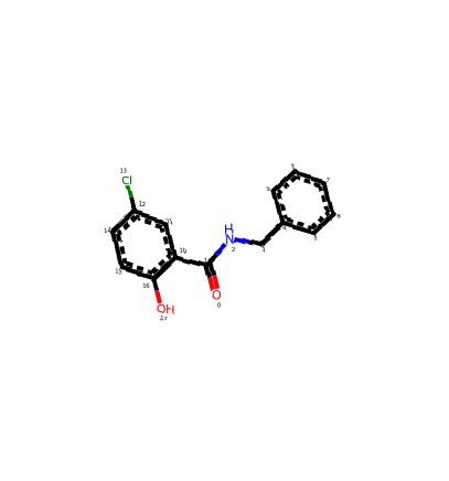 O=C(NCc1ccccc1)c1cc(Cl)ccc1O